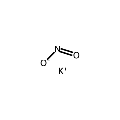 O=N[O-].[K+]